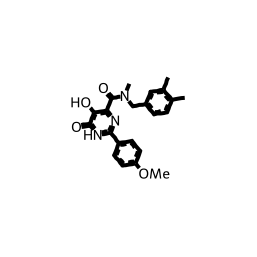 COc1ccc(-c2nc(C(=O)N(C)Cc3ccc(C)c(C)c3)c(O)c(=O)[nH]2)cc1